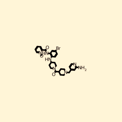 Nc1cc(CN2CCC(C(=O)N3CCC(Nc4ccc(Br)cc4NC(=O)c4cccc[n+]4[O-])CC3)CC2)ccn1